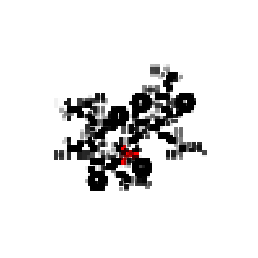 CC(=O)N[C@@H](CCC(N)=O)C(=O)N[C@@H](Cc1ccccc1)C(=O)N[C@@H](CCC(=O)O)C(=O)N[C@@H](Cc1ccccc1)C(=O)N[C@@H](CCC(N)=O)C(=O)N[C@@H](Cc1ccccc1)C(=O)N[C@@H](CCC(N)=O)C(=O)N[C@@H](Cc1ccccc1)C(=O)N[C@@H](CCCNC(=N)N)C(=O)N[C@@H](Cc1ccccc1)C(=O)N[C@@H](CCC(N)=O)C(=O)O